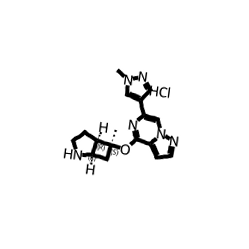 Cl.Cn1cc(-c2cn3nccc3c(O[C@@]3(C)C[C@H]4NCC[C@H]43)n2)cn1